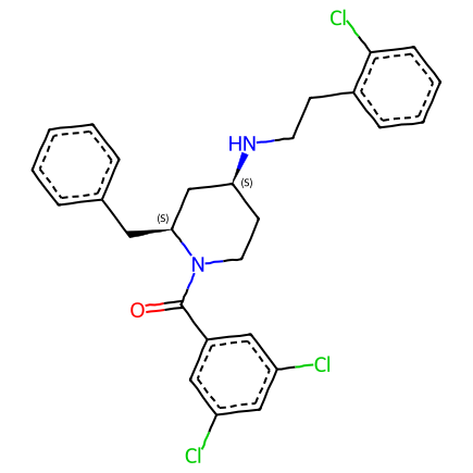 O=C(c1cc(Cl)cc(Cl)c1)N1CC[C@H](NCCc2ccccc2Cl)C[C@@H]1Cc1ccccc1